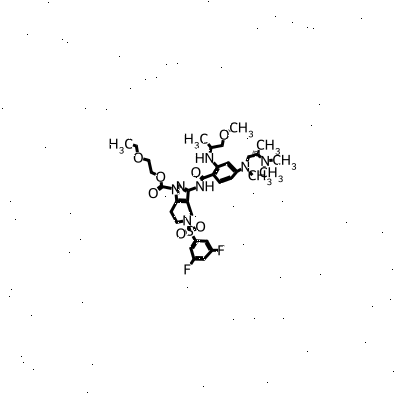 CCOCCOC(=O)n1nc(NC(=O)c2ccc(N(C)C[C@@H](C)N(C)C)cc2NC(C)COC)c2c1CCN(S(=O)(=O)c1cc(F)cc(F)c1)C2